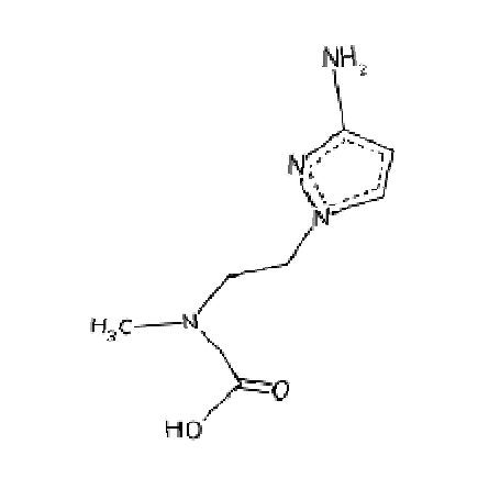 CN(CCn1ccc(N)n1)C(=O)O